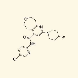 O=C(Nc1ccc(Cl)cn1)c1cc(N2CCC(F)CC2)nc2c1CCOCC2